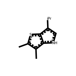 Cc1sc2c(C(C)C)c[nH]c2c1C